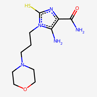 NC(=O)c1nc(S)n(CCCN2CCOCC2)c1N